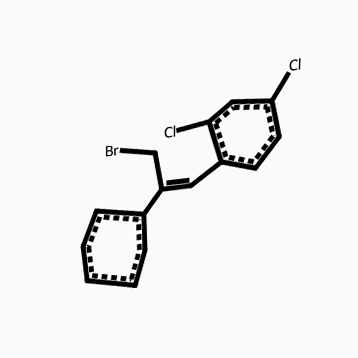 Clc1ccc(/C=C(\CBr)c2ccccc2)c(Cl)c1